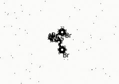 CC(CCc1ccc(Br)cc1)(Cn1ccnc1)Sc1c(Br)cccc1Br